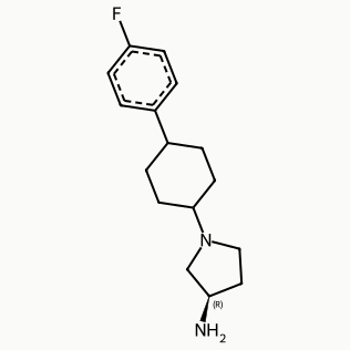 N[C@@H]1CCN(C2CCC(c3ccc(F)cc3)CC2)C1